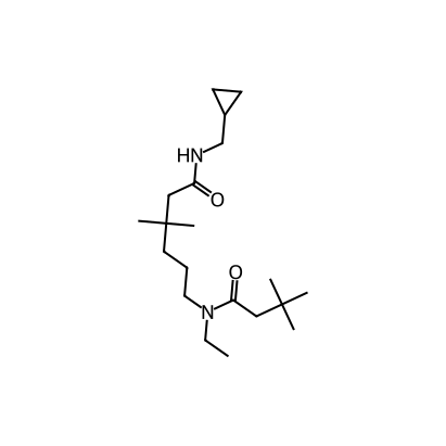 CCN(CCCC(C)(C)CC(=O)NCC1CC1)C(=O)CC(C)(C)C